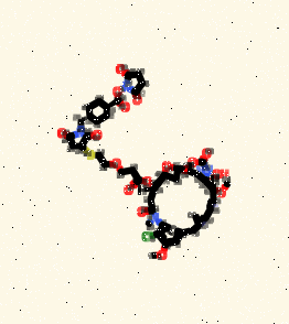 COc1cc2cc(c1Cl)N(C)C(=O)C[C@H](OC(=O)CCOCCSC1CC(=O)N(C[C@H]3CC[C@H](C(=O)ON4C(=O)CCC4=O)CC3)C1=O)[C@@]1(C)C[C@](C)(O1)[C@@H]1C[C@@](O)(NC(=O)O1)[C@H](OC)/C=C/C=C(\C)C2